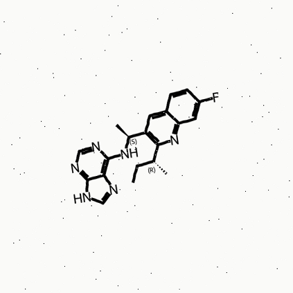 CC[C@@H](C)c1nc2cc(F)ccc2cc1[C@H](C)Nc1ncnc2[nH]cnc12